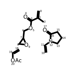 C=C(C)C(=O)OCC1CO1.C=CN1CCCC1=O.C=COC(C)=O